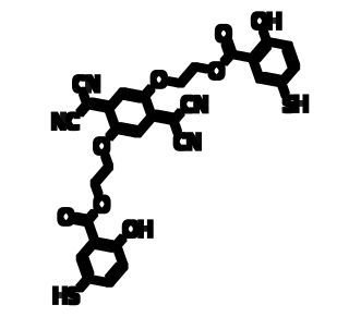 N#CC(C#N)=c1cc(OCCOC(=O)c2cc(S)ccc2O)c(=C(C#N)C#N)cc1OCCOC(=O)c1cc(S)ccc1O